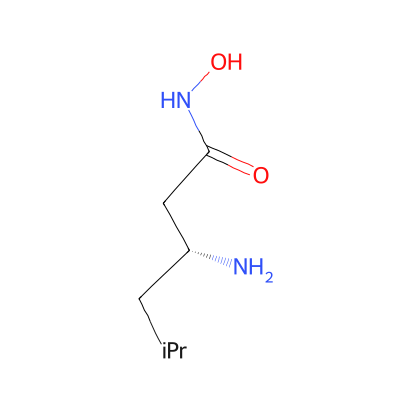 CC(C)C[C@@H](N)CC(=O)NO